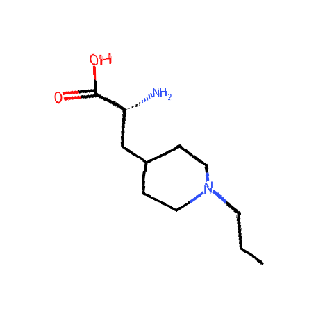 CCCN1CCC(C[C@@H](N)C(=O)O)CC1